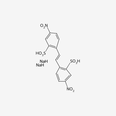 O=[N+]([O-])c1ccc(C=Cc2ccc([N+](=O)[O-])cc2S(=O)(=O)O)c(S(=O)(=O)O)c1.[NaH].[NaH]